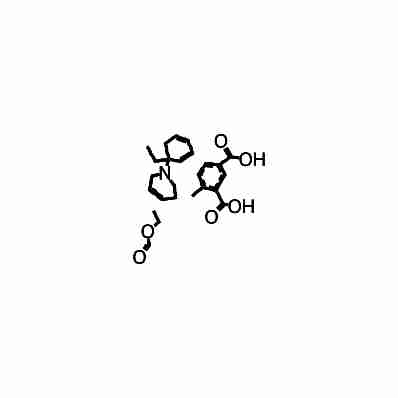 CCC1(N2CC=CCC2)C=CC=CC1.CCOC=O.Cc1ccc(C(=O)O)cc1C(=O)O